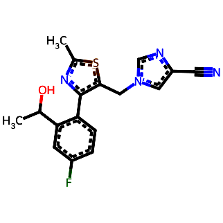 Cc1nc(-c2ccc(F)cc2C(C)O)c(Cn2cnc(C#N)c2)s1